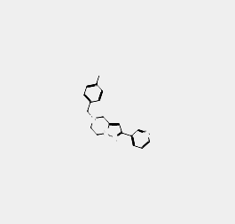 Cc1ccc(CN2CCn3nc(-c4cccnc4)cc3C2)cc1